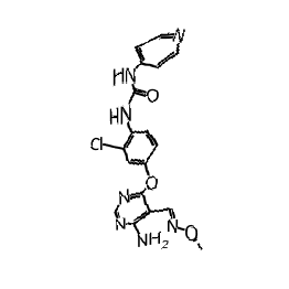 CON=Cc1c(N)ncnc1Oc1ccc(NC(=O)Nc2ccncc2)c(Cl)c1